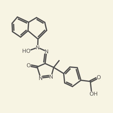 CC1(c2ccc(C(=O)O)cc2)N=NC(=O)C1=NN(O)c1cccc2ccccc12